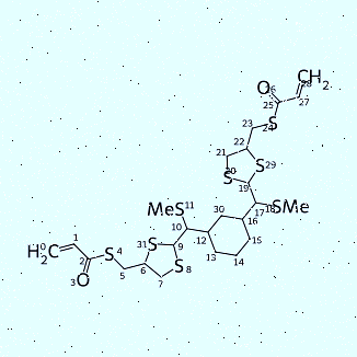 C=CC(=O)SCC1CSC(C(SC)C2CCCC(C(SC)C3SCC(CSC(=O)C=C)S3)C2)S1